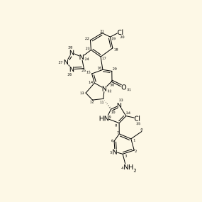 Cc1cc(N)ncc1-c1[nH]c([C@@H]2CCc3cc(-c4cc(Cl)ccc4-n4cnnn4)cc(=O)n32)nc1Cl